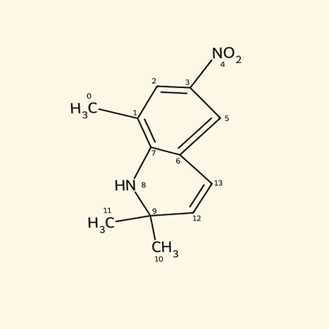 Cc1cc([N+](=O)[O-])cc2c1NC(C)(C)C=C2